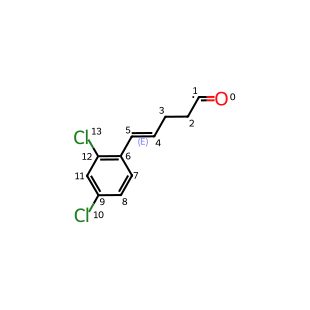 O=[C]CC/C=C/c1ccc(Cl)cc1Cl